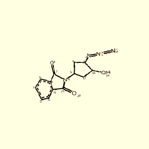 [N-]=[N+]=NC1CC(N2C(=O)c3ccccc3C2=O)CC1O